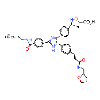 CCCCCCCCCCCCNC(=O)c1ccc(-c2nc(-c3ccc(C4=NOC(C(=O)O)C4)cc3)c(-c3ccc(C=CC(=O)NCC4CCCO4)cc3)[nH]2)cc1